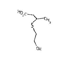 CC(CC(=O)O)SCCO